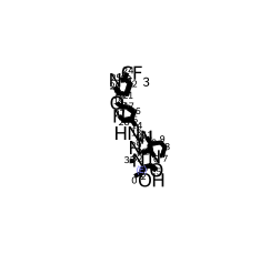 C/C(O)=C1/C(=O)N2CCCc3nc(NCc4ccc(Oc5ccc(C(F)(F)F)nc5)nc4)nc(c32)N1C